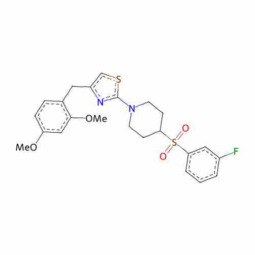 COc1ccc(Cc2csc(N3CCC(S(=O)(=O)c4cccc(F)c4)CC3)n2)c(OC)c1